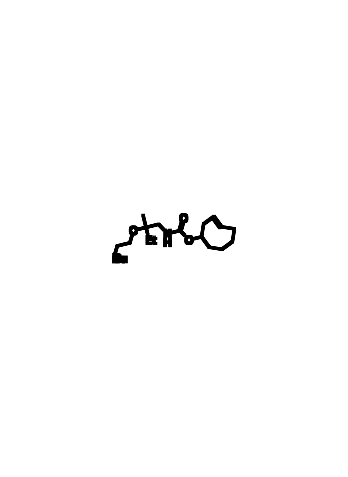 CCC(C)CCOC(C)(CC)CNC(=O)OC1C/C=C/CCCC1